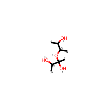 CC(O)C(C)OC(C)(O)C(C)O